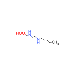 CCCCCNCCNCOO